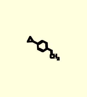 C=Cc1ccc(C2CC2)cc1